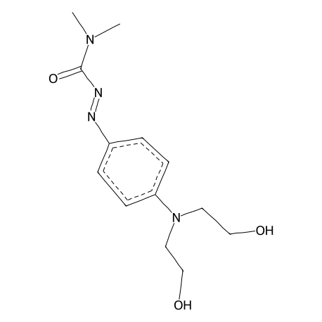 CN(C)C(=O)N=Nc1ccc(N(CCO)CCO)cc1